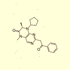 C[C@@H]1C(=O)N(C)c2cnc(CC(=O)c3ccccc3)nc2N1C1CCCC1